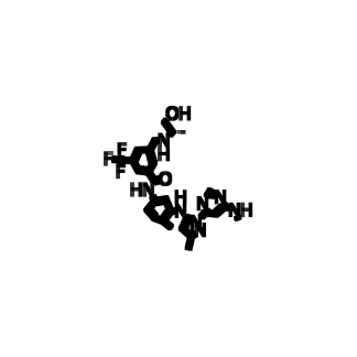 CNc1cc(-n2nc(C)cc2Nc2cc(NC(=O)c3cc(CN[C@@H](C)CO)cc(C(F)(F)F)c3)ccc2C)ncn1